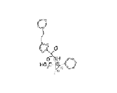 C[C@H]1[C@@H](c2ccccc2)[C@@]1(NS(=O)(=O)c1ccc(CCc2ccccc2)s1)C(=O)O